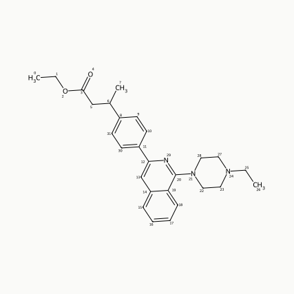 CCOC(=O)CC(C)c1ccc(-c2cc3ccccc3c(N3CCN(CC)CC3)n2)cc1